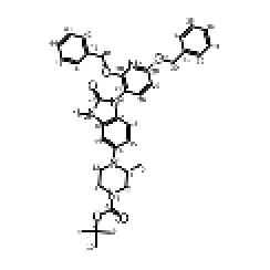 C[C@H]1CN(C(=O)OC(C)(C)C)CCN1c1ccc2c(c1)n(C)c(=O)n2-c1ccc(OCc2ccccc2)nc1OCc1ccccc1